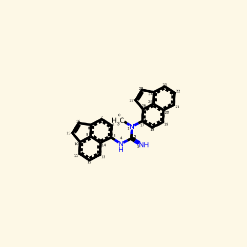 CN(C(=N)Nc1ccc2c3c(cccc13)C=C2)c1ccc2cccc3c2c1C=C3